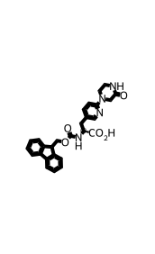 O=C1CN(c2ccc(C[C@H](NC(=O)OCC3c4ccccc4-c4ccccc43)C(=O)O)cn2)CCN1